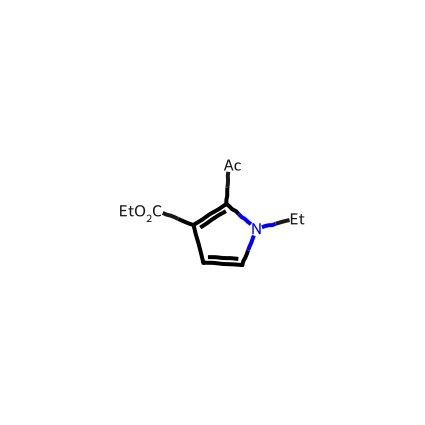 CCOC(=O)c1ccn(CC)c1C(C)=O